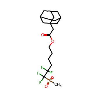 CS(=O)(=O)C(F)(F)C(F)(F)CCCCOC(=O)CC12CC3CC(CC(C3)C1)C2